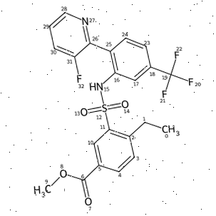 CCc1ccc(C(=O)OC)cc1S(=O)(=O)Nc1cc(C(F)(F)F)ccc1-c1ncccc1F